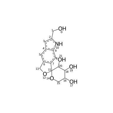 OCc1cc2cc3c(cc2[nH]1)C1(OC3)OCC(O)C(O)C1O